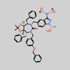 CB(O)n1nc(N(B2CO2)B2CO2)c2cc(CN3C(=O)N(Cc4cccc(OCc5ccccc5)c4)[C@H](Cc4ccccc4)[C@@H]4OC(C)(C)O[C@H]4[C@H]3Cc3ccccc3)ccc21